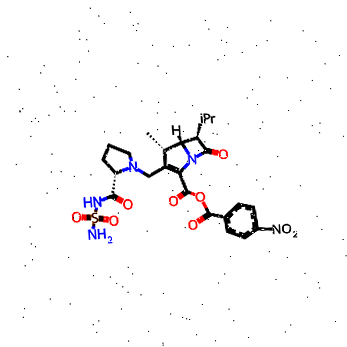 CC(C)[C@H]1C(=O)N2C(C(=O)OC(=O)c3ccc([N+](=O)[O-])cc3)=C(CN3CCC[C@H]3C(=O)NS(N)(=O)=O)[C@H](C)[C@H]12